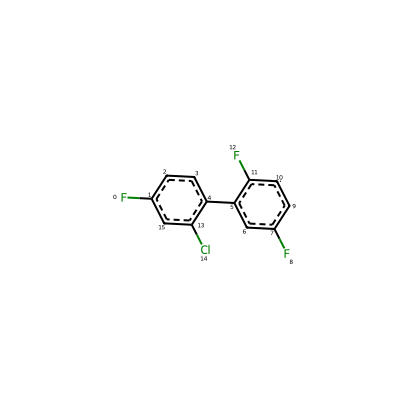 Fc1ccc(-c2cc(F)c[c]c2F)c(Cl)c1